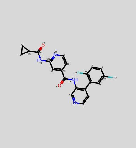 O=C(Nc1cnccc1-c1cc(F)ccc1F)c1ccnc(NC(=O)C2CC2)c1